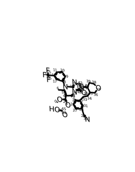 COC(=O)C1=C(C)N(c2cccc(C(F)(F)F)c2)c2n[nH]c(=O)n2[C@@H]1c1ccc(C#N)cc1CCC1COCCC1N(C)C.O=CO